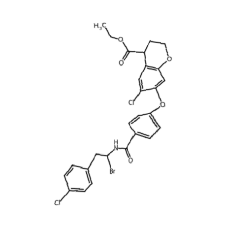 CCOC(=O)C1CCOc2cc(Oc3ccc(C(=O)NC(Br)Cc4ccc(Cl)cc4)cc3)c(Cl)cc21